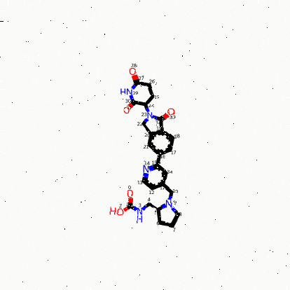 O=C(O)NC[C@@H]1CCCN1Cc1ccnc(-c2ccc3c(c2)CN(C2CCC(=O)NC2=O)C3=O)c1